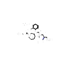 C/C=C(\C=N)C(=O)N(N)C1Nc2ccc(OC)c(Cl)c2N1[C@@H]1CCCCN(C(=O)OC(C)(C)C)C1